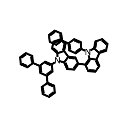 C1=CCCC(c2ccc(-n3c4ccccc4c4cccc(-c5ccc6c(c5)c5ccccc5n6-c5cc(-c6ccccc6)cc(-c6ccccc6)c5)c43)cc2)=C1